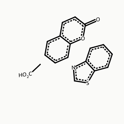 CC(=O)O.O=c1ccc2ccccc2o1.c1ccc2scnc2c1